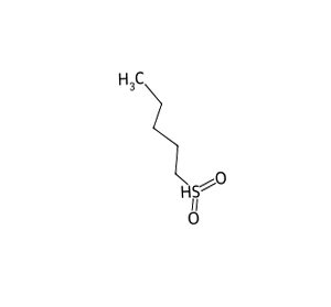 CCCCC[SH](=O)=O